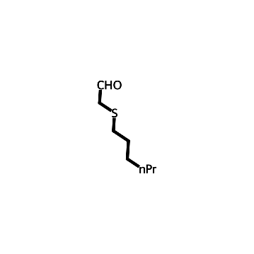 CCCCCCSCC=O